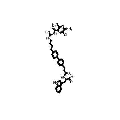 CC(=O)C(=O)C(Cc1c[nH]c2ccccc12)NC(=O)CCc1ccc(-c2ccc(CCCCNC(=N)NC(=O)c3nc(Cl)c(N)nc3N)cc2)cc1